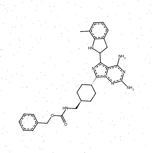 Cc1cccc2c1NC(c1nc([C@H]3CC[C@H](CNC(=O)OCc4ccccc4)CC3)n3nc(N)nc(N)c13)C2